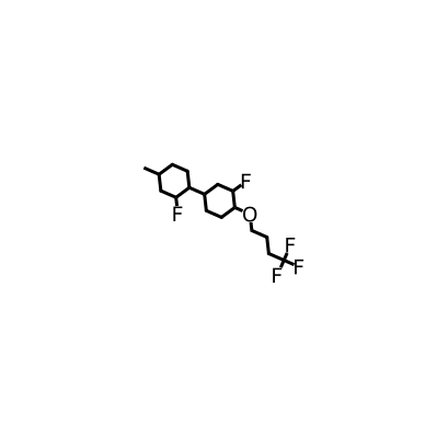 CC1CCC(C2CCC(OCCCC(F)(F)F)C(F)C2)C(F)C1